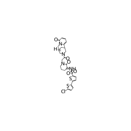 O=C(CN1CCC[C@H](NS(=O)(=O)c2ccc(-c3ccc(Cl)s3)s2)C1=O)N1CC2C[C@@H](C1)Cn1c2cccc1=O